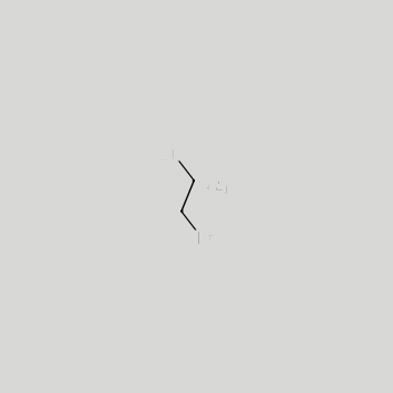 CCCCCC.[Ar]